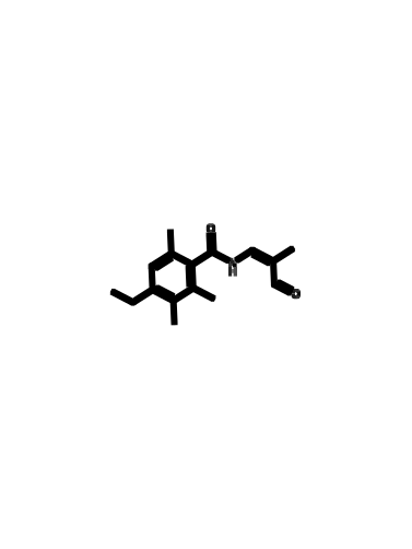 CCc1cc(C)c(C(=O)N/C=C(/C)C=O)c(C)c1C